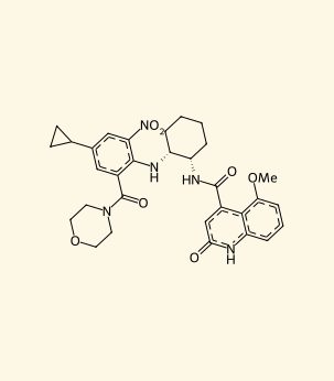 COc1cccc2[nH]c(=O)cc(C(=O)N[C@H]3CCCC[C@H]3Nc3c(C(=O)N4CCOCC4)cc(C4CC4)cc3[N+](=O)[O-])c12